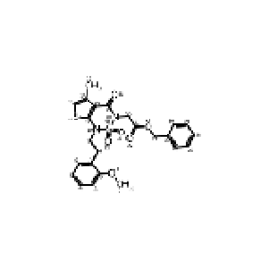 COc1ccccc1CCN1c2scc(C)c2C(=O)N(CC(=O)OCc2ccccc2)S1(=O)=O